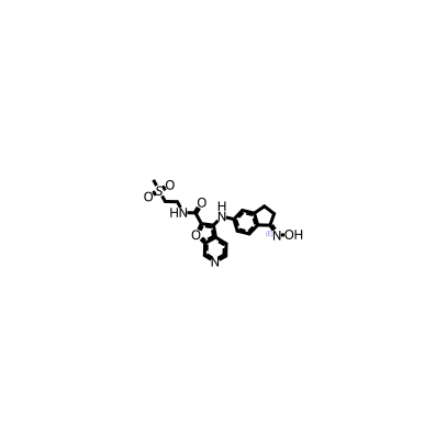 CS(=O)(=O)CCNC(=O)c1oc2cnccc2c1Nc1ccc2c(c1)CC/C2=N\O